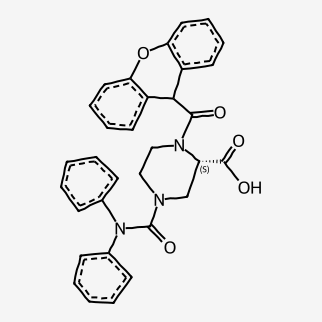 O=C(O)[C@@H]1CN(C(=O)N(c2ccccc2)c2ccccc2)CCN1C(=O)C1c2ccccc2Oc2ccccc21